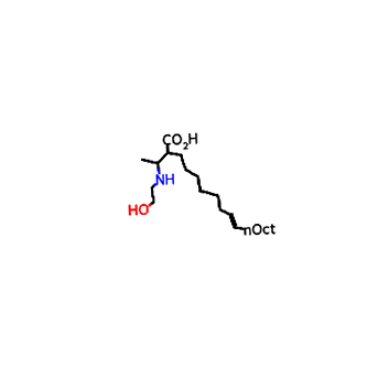 CCCCCCCCC=CCCCCCCC(C(=O)O)C(C)NCCO